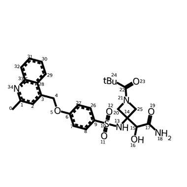 Cc1cc(COc2ccc(S(=O)(=O)NC3(C(O)C(N)=O)CN(C(=O)C(C)(C)C)C3)cc2)c2ccccc2n1